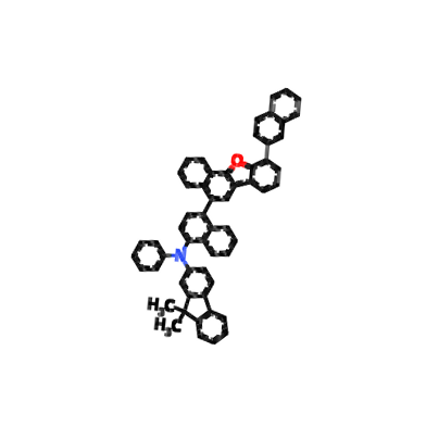 CC1(C)c2ccccc2-c2ccc(N(c3ccccc3)c3ccc(-c4cc5c6cccc(-c7ccc8ccccc8c7)c6oc5c5ccccc45)c4ccccc34)cc21